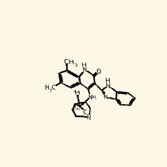 Cc1cc(C)c2[nH]c(=O)c(-c3nc4ccccc4[nH]3)c(N[C@@H]3CN4CCC3CC4)c2c1